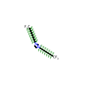 FC(F)(F)C(F)(F)C(F)(F)C(F)(F)C(F)(F)C(F)(F)C(F)(F)C(F)(F)n1cc[n+](C(F)(F)C(F)(F)C(F)(F)C(F)(F)C(F)(F)C(F)(F)C(F)(F)C(F)(F)F)c1